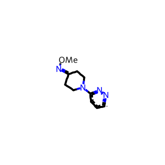 CON=C1CCN(c2cc[c]nn2)CC1